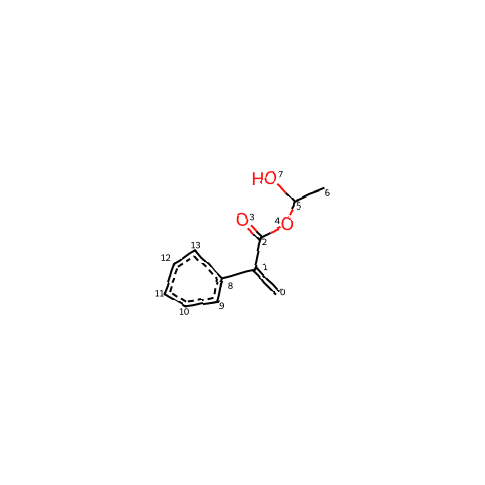 C=C(C(=O)OC(C)O)c1ccccc1